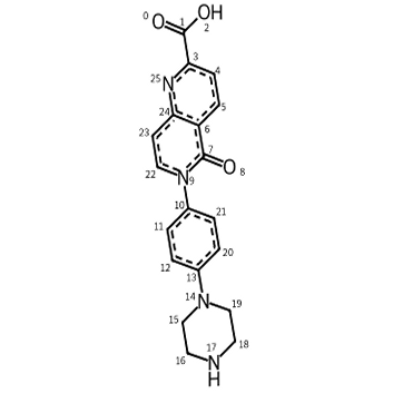 O=C(O)c1ccc2c(=O)n(-c3ccc(N4CCNCC4)cc3)ccc2n1